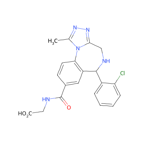 Cc1nnc2n1-c1ccc(C(=O)NCC(=O)O)cc1C(c1ccccc1Cl)NC2